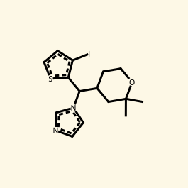 CC1(C)CC(C(c2sccc2I)n2ccnc2)CCO1